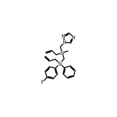 C=CC[Si](C)(Cn1cncn1)C[Si](CC=C)(c1ccccc1)c1ccc(F)cc1